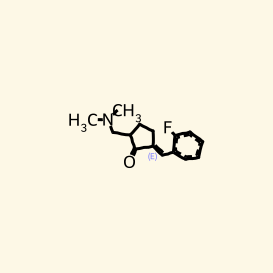 CN(C)CC1CC/C(=C\c2ccccc2F)C1=O